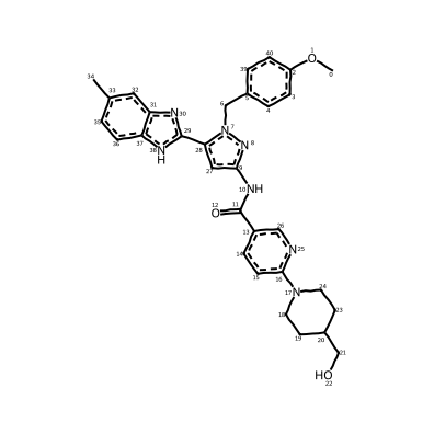 COc1ccc(Cn2nc(NC(=O)c3ccc(N4CCC(CO)CC4)nc3)cc2-c2nc3cc(C)ccc3[nH]2)cc1